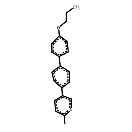 CCCOc1ccc(-c2ccc(-c3ccc(F)nc3)cc2)cc1